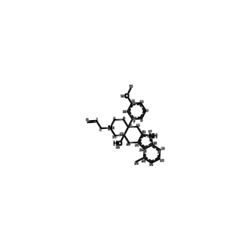 C=CCN1CCC2(c3cccc(OC)c3)Cc3[nH]c4cccc(C)c4c3CC2(O)C1